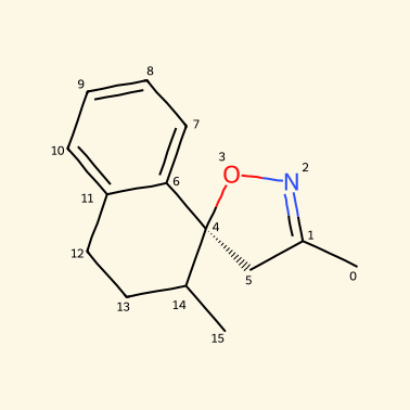 CC1=NO[C@]2(C1)c1ccccc1CCC2C